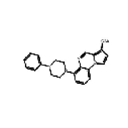 COc1ccn2c1cnc1c(N3CCN(c4ccccc4)CC3)cccc12